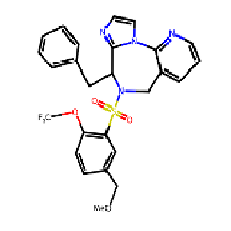 COCc1ccc(OC(F)(F)F)c(S(=O)(=O)N2Cc3cccnc3-n3ccnc3C2Cc2ccccc2)c1